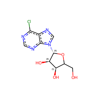 OCC1O[C@@H](n2cnc3c(Cl)ncnc32)[C@H](O)[C@@H]1O